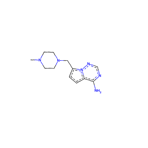 CN1CCN(Cc2ccc3c(N)ncnn23)CC1